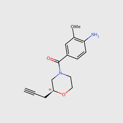 C#CC[C@H]1CN(C(=O)c2ccc(N)c(OC)c2)CCO1